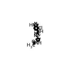 CC(=O)N[C@H]1CC[C@@H](c2nnc(Nc3ccc4[nH]ncc4c3Cl)s2)C1